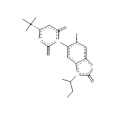 CCC(C)n1c(=O)sc2cc(F)c(-n3c(=O)cc(C(F)(F)F)[nH]c3=O)cc21